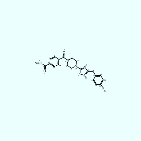 COC(=O)c1ccc(C(=O)N2CCN(c3nc(Cc4ccc(F)cc4)ns3)CC2)cc1